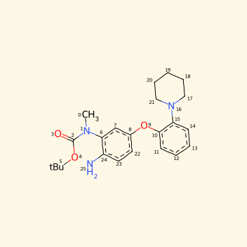 CN(C(=O)OC(C)(C)C)c1cc(Oc2ccccc2N2CCCCC2)ccc1N